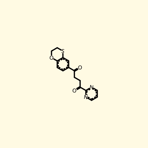 O=C(CCC(=O)c1ncccn1)c1ccc2c(c1)SCCO2